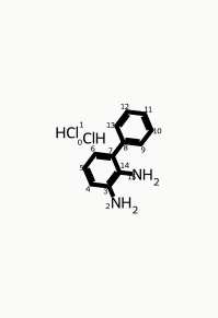 Cl.Cl.Nc1cccc(-c2ccccc2)c1N